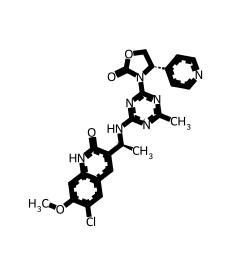 COc1cc2[nH]c(=O)c([C@H](C)Nc3nc(C)nc(N4C(=O)OC[C@@H]4c4ccncc4)n3)cc2cc1Cl